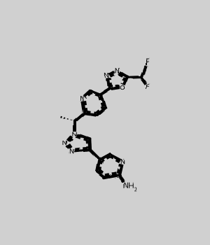 C[C@H](c1ccc(-c2nnc(C(F)F)o2)cn1)n1cc(-c2ccc(N)nc2)nn1